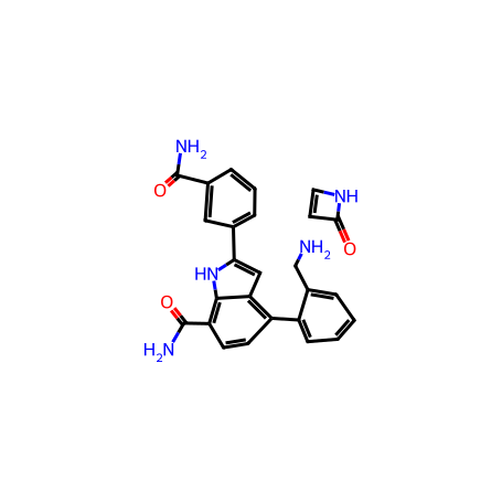 NCc1ccccc1-c1ccc(C(N)=O)c2[nH]c(-c3cccc(C(N)=O)c3)cc12.O=C1C=CN1